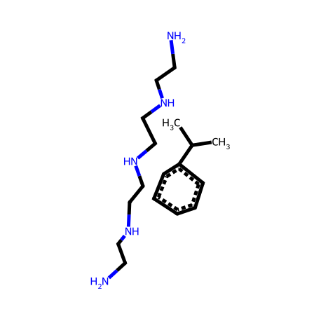 CC(C)c1ccccc1.NCCNCCNCCNCCN